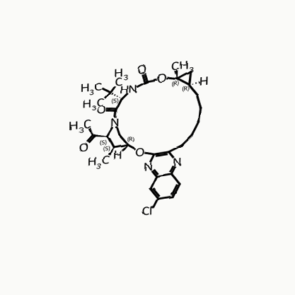 CC(=O)[C@@H]1[C@H](C)[C@@H]2CN1C(=O)[C@H](C(C)(C)C)NC(=O)O[C@]1(C)C[C@H]1CCCCCc1nc3ccc(Cl)cc3nc1O2